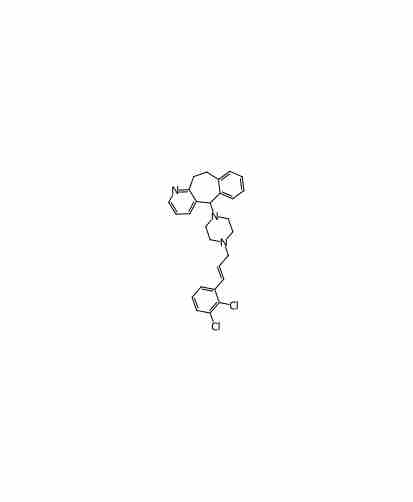 Clc1cccc(/C=C/CN2CCN(C3c4ccccc4CCc4ncccc43)CC2)c1Cl